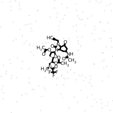 C#CCN1C(=O)N([C@@H]2O[C@H]([C@H](CN(C)C(=O)C(F)(F)F)OC(C)=O)C[C@H]2OC(C)=O)C2CC(NC(C)=O)CC(=O)C21